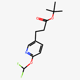 CC(C)(C)OC(=O)CCc1ccc(OC(F)F)nc1